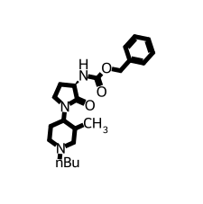 CCCCN1CCC(N2CC[C@H](NC(=O)OCc3ccccc3)C2=O)C(C)C1